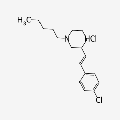 CCCCCN1CCCC(C=Cc2ccc(Cl)cc2)C1.Cl